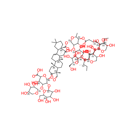 CC[C@H](C)[C@H](C[C@H](O)CC(=O)O[C@@H]1C(C)O[C@@H](OC(=O)[C@]23CCC(C)(C)CC2C2=CCC4[C@@]5(C)CC[C@H](O[C@@H]6OC(C(=O)O)[C@H](O)C(O[C@@H]7OC[C@@H](O)C(O)C7O)C6O[C@@H]6OC(CO)[C@H](O)C(O)C6O)[C@@](C)(C=O)C5CC[C@@]4(C)[C@]2(C)C[C@H]3O)C(O[C@@H]2OC(C)[C@H](O[C@H]3OCC(O)[C@H](O[C@H]4OCC(O)[C@H](O)C4O)C3O)C(O)C2O)C1O)OC(=O)C[C@@H](O)C[C@H](O[C@@H]1O[C@@H](CO)C(O)C1O)[C@@H](C)CC